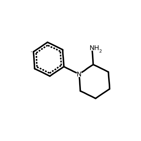 NC1CCCCN1c1cc[c]cc1